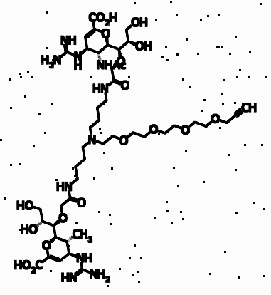 C#CCOCCOCCOCCOCCN(CCCCNC(=O)CO[C@@H]([C@@H]1OC(C(=O)O)=C[C@H](NC(=N)N)[C@H]1C)[C@H](O)CO)CCCCNC(=O)CO[C@@H]([C@@H]1OC(C(=O)O)=C[C@H](NC(=N)N)[C@H]1NC(C)=O)[C@H](O)CO